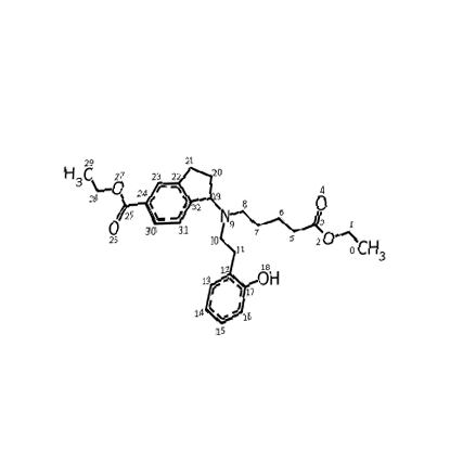 CCOC(=O)CCCCN(CCc1ccccc1O)C1CCc2cc(C(=O)OCC)ccc21